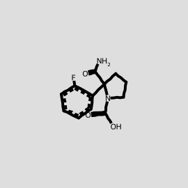 NC(=O)C1(c2ccccc2F)CCCN1C(=O)O